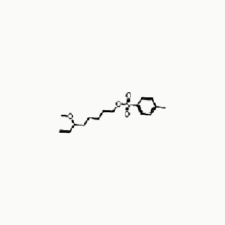 C=CC(CCCCCOS(=O)(=O)c1ccc(C)cc1)OC